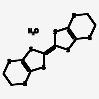 C1CSC2=C(S1)SC(=C1SC3=C(SCCS3)S1)S2.O